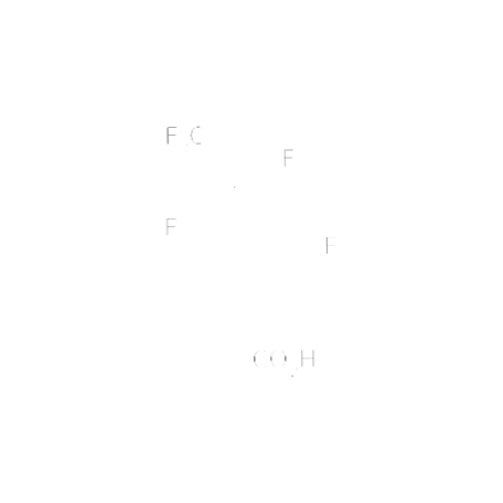 O=C(O)C=C(F)C(F)(F)C(F)(F)F